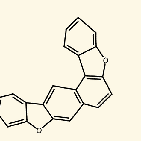 c1ccc2c(c1)oc1cc3ccc4oc5ccccc5c4c3cc12